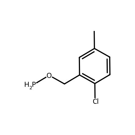 Cc1ccc(Cl)c(COP)c1